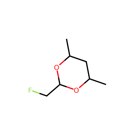 CC1CC(C)OC(CF)O1